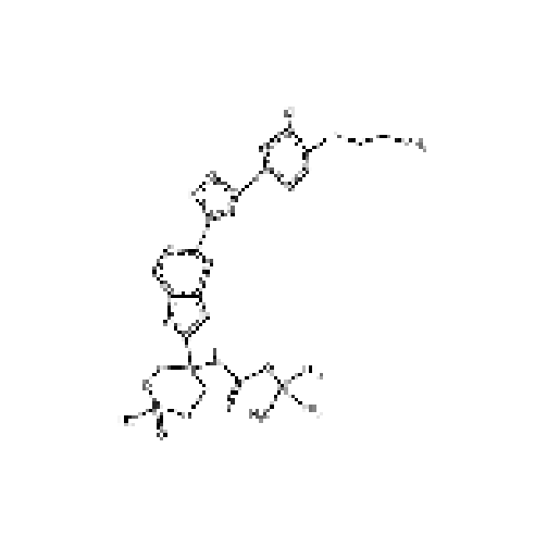 CCCOc1ccc(-c2nc(-c3ccc4oc(C5(NC(=O)OC(C)(C)C)COP(=O)(O)OC5)cc4c3)no2)cc1Cl